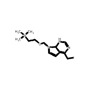 C[Si](C)(C)CCOCN1C=CC2=C(CI)N=CNC21